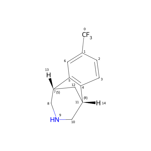 FC(F)(F)c1ccc2c(c1)[C@H]1CNC[C@@H]2C1